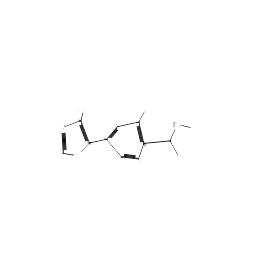 Cc1ncsc1-c1ccc(C(C)NC(=O)O)c(F)c1